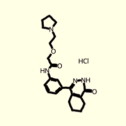 Cl.O=C(COCCN1CCCC1)Nc1cccc(-c2n[nH]c(=O)c3c2CCCC3)c1